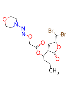 CCCC(OC(=O)CO/N=N/N1CCOCC1)C1=CC(=C(Br)Br)OC1=O